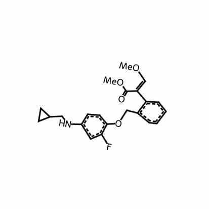 COC=C(C(=O)OC)c1ccccc1COc1ccc(NCC2CC2)cc1F